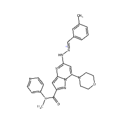 Cc1cccc(/C=N/Nc2cc(N3CCOCC3)n3nc(C(=O)N(C)c4ccncc4)cc3n2)c1